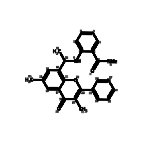 CNC(=O)c1ccccc1NC(C)c1cc(C)cc2c(=O)c(C)c(-c3cccnc3)oc12